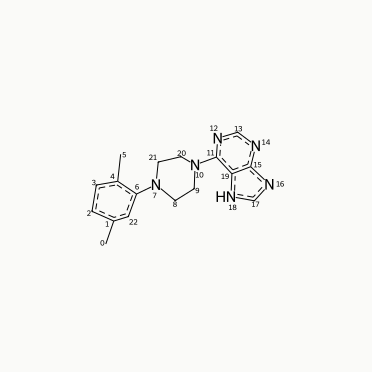 Cc1ccc(C)c(N2CCN(c3ncnc4nc[nH]c34)CC2)c1